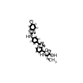 CC[C@H](NC(=O)c1cccn2c(-c3ccc(Nc4nc5ccc(Cl)cc5s4)cc3)nnc12)C(=O)O